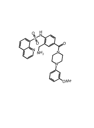 COc1cccc(N2CCN(C(=O)c3ccc(NS(=O)(=O)c4cccc5cccnc45)c(CN)c3)CC2)c1